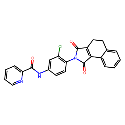 O=C(Nc1ccc(N2C(=O)C3=C(C2=O)c2ccccc2CC3)c(Cl)c1)c1ccccn1